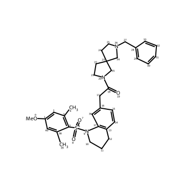 COc1cc(C)c(S(=O)(=O)N2CCCc3ccc(CC(=O)N4CCC5(CCN(Cc6ccccc6)C5)C4)cc32)c(C)c1